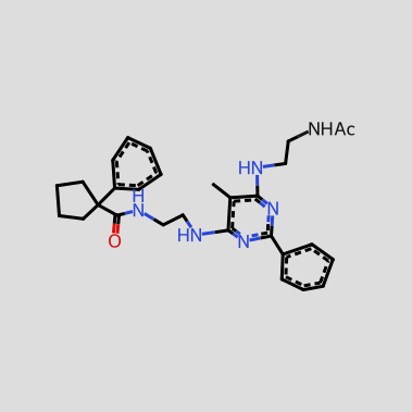 CC(=O)NCCNc1nc(-c2ccccc2)nc(NCCNC(=O)C2(c3ccccc3)CCCC2)c1C